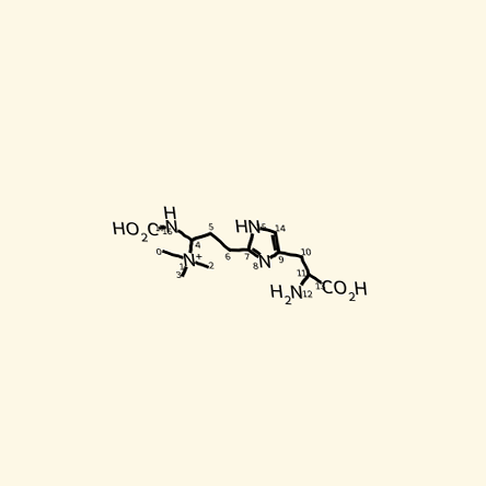 C[N+](C)(C)C(CCc1nc(CC(N)C(=O)O)c[nH]1)NC(=O)O